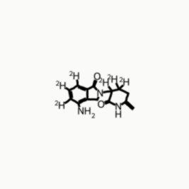 [2H]c1c([2H])c(N)c2c(c1[2H])C(=O)N(C1([2H])C(=O)NC(=C)CC1([2H])[2H])C2